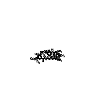 CC1(C)CC(NC(=O)C[Si](C)(C)CC(C)(C)O[Si](C)(C)CCCOCCOC(=O)NC2CC(C)(C)CC(C)(CN=C=O)C2)CC(C)(COC#N)C1